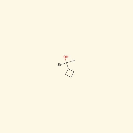 CCC(O)(CC)C1CCC1